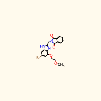 COCCOc1cc(Br)cc2[nH]c(CN3C(=O)c4ccccc4C3=O)nc12